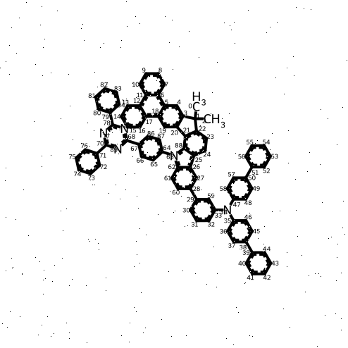 CC1(C)c2cc3c4ccccc4c4ccccc4c3cc2-c2c1ccc1c3cc(-c4cccc(N(c5ccc(-c6ccccc6)cc5)c5ccc(-c6ccccc6)cc5)c4)ccc3n(-c3ccc(-c4nc(-c5ccccc5)nc(-c5ccccc5)n4)cc3)c21